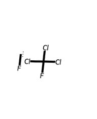 FC(Cl)(Cl)Cl.[C]F